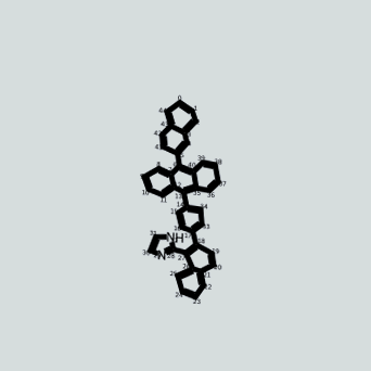 c1ccc2cc(-c3c4ccccc4c(-c4ccc(-c5ccc6ccccc6c5-c5ncc[nH]5)cc4)c4ccccc34)ccc2c1